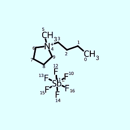 CCCC[N+]1(C)CCCC1.[F][Sb-]([F])([F])([F])([F])[F]